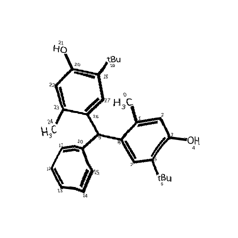 Cc1cc(O)c(C(C)(C)C)cc1C(c1ccccc1)c1cc(C(C)(C)C)c(O)cc1C